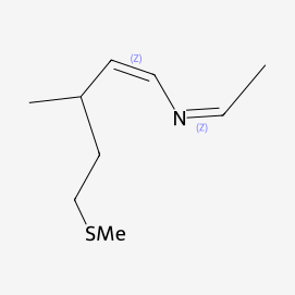 C/C=N\C=C/C(C)CCSC